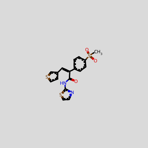 CS(=O)(=O)c1ccc(C(=Cc2ccsc2)C(=O)Nc2nccs2)cc1